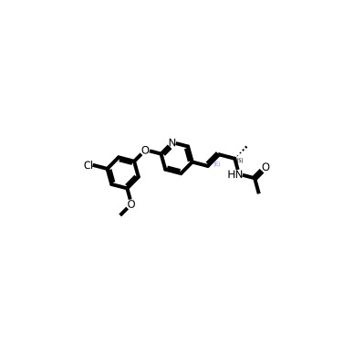 COc1cc(Cl)cc(Oc2ccc(/C=C/[C@H](C)NC(C)=O)cn2)c1